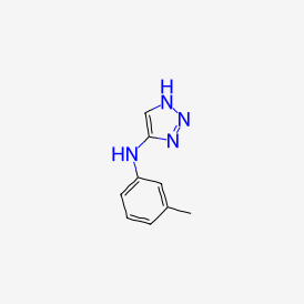 Cc1cccc(Nc2c[nH]nn2)c1